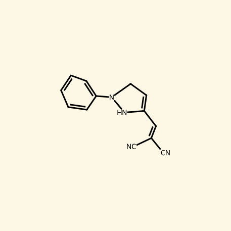 N#CC(C#N)=CC1=CCN(c2ccccc2)N1